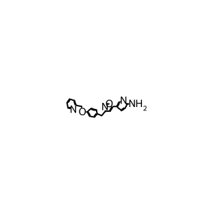 Nc1ccc(-c2cc(Cc3ccc(OCc4ccccn4)cc3)no2)cn1